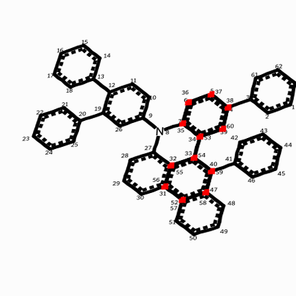 c1ccc(-c2ccc(N(c3ccc(-c4ccccc4)c(-c4ccccc4)c3)c3cccc4c3c(-c3ccccc3)c(-c3ccccc3)c3ccccc34)c(-c3ccccc3)c2)cc1